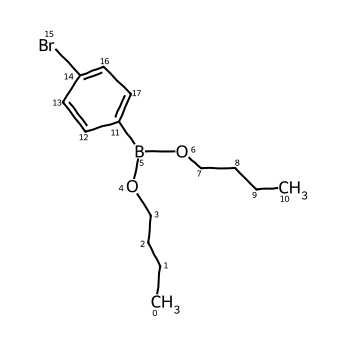 CCCCOB(OCCCC)c1ccc(Br)cc1